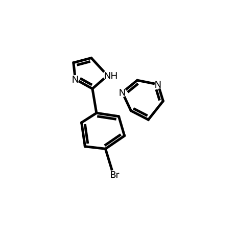 Brc1ccc(-c2ncc[nH]2)cc1.c1cncnc1